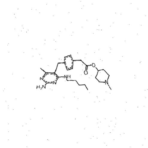 CCCCCNc1nc(N)nc(C)c1Cc1ccc(CC(=O)OC2CCN(C)CC2)cc1